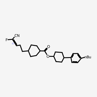 CCCCc1ccc(C2CCC(OC(=O)C3CCC(CC/C=C(/F)C#N)CC3)CC2)cc1